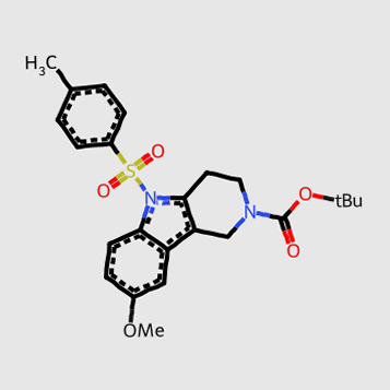 COc1ccc2c(c1)c1c(n2S(=O)(=O)c2ccc(C)cc2)CCN(C(=O)OC(C)(C)C)C1